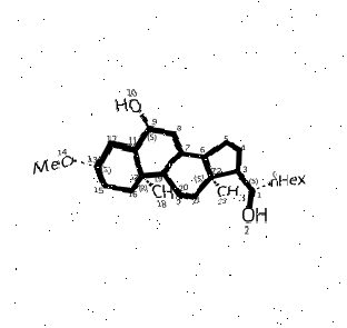 CCCCCC[C@H](O)C1CCC2C3C[C@H](O)C4C[C@@H](OC)CC[C@]4(C)C3CC[C@@]21C